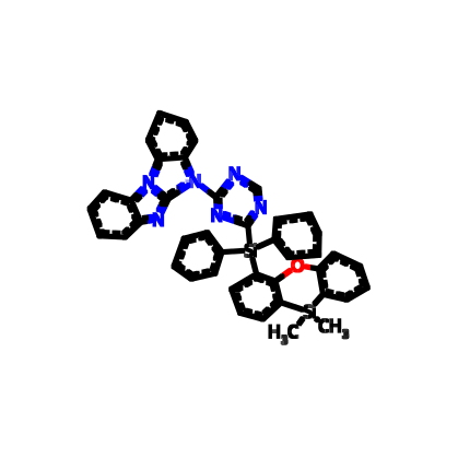 C[Si]1(C)c2ccccc2Oc2c1cccc2[Si](c1ccccc1)(c1ccccc1)c1ncnc(-n2c3ccccc3n3c4ccccc4nc23)n1